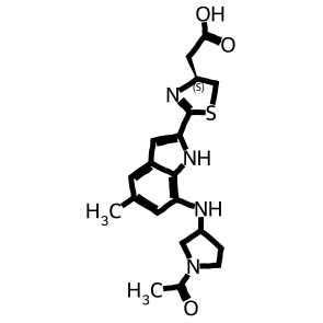 CC(=O)N1CCC(Nc2cc(C)cc3cc(C4=N[C@@H](CC(=O)O)CS4)[nH]c23)C1